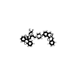 O=C(NCC(F)(F)F)C1(CCCCN2CCN(c3ccc4cnn(Cc5ccccc5)c(=O)c4c3)CC2)c2ccccc2Oc2ccccc21